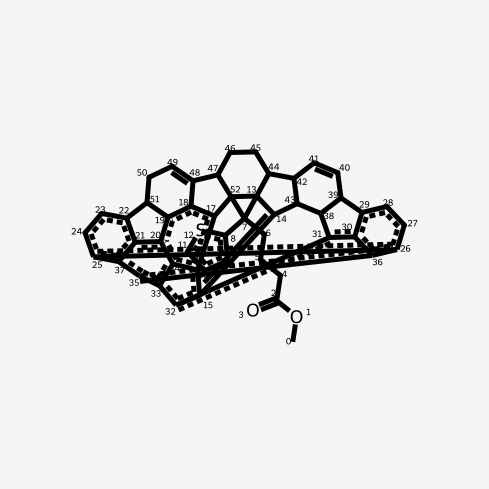 COC(=O)CCCC1(c2cccs2)C23C4=c5c6c7c8c9c%10c%11c%12ccc%13c%14ccc%15c%16c(c5c(c6%10)c(c%16%14)c%13%11)C5C%15C=CC(C45)C2CCC(C8=CCC9%12)C713